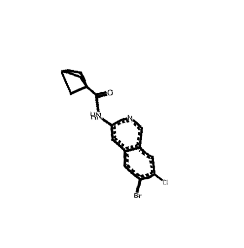 O=C(Nc1cc2cc(Br)c(Cl)cc2cn1)C12CC(C1)C2